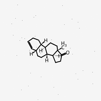 C[C@]12CC[C@@H]3[C@H]4CCC=C[C@H]4CC[C@H]3[C@@H]1CCC2=O